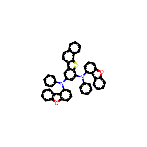 c1ccc(N(c2cc(N(c3ccccc3)c3cccc4oc5ccccc5c34)c3sc4c5ccccc5ccc4c3c2)c2cccc3oc4ccccc4c23)cc1